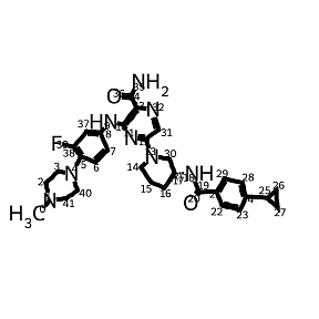 CN1CCN(c2ccc(Nc3nc(N4CCC[C@@H](NC(=O)c5ccc(C6CC6)cc5)C4)cnc3C(N)=O)cc2F)CC1